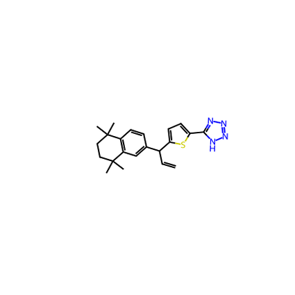 C=CC(c1ccc2c(c1)C(C)(C)CCC2(C)C)c1ccc(-c2nnn[nH]2)s1